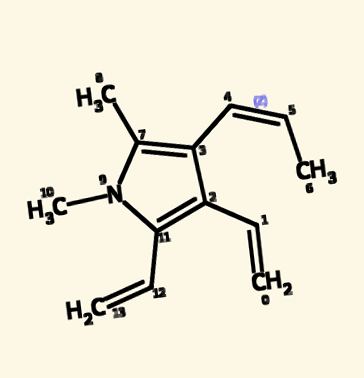 C=Cc1c(/C=C\C)c(C)n(C)c1C=C